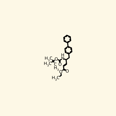 CCOC(=O)/C=C/C(Cc1ccc(-c2ccccc2)cc1)NC(=O)OC(C)(C)C